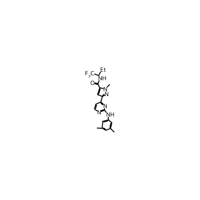 CCC(NC(=O)c1cc(-c2ccnc(Nc3cc(C)cc(C)c3)n2)nn1C)C(F)(F)F